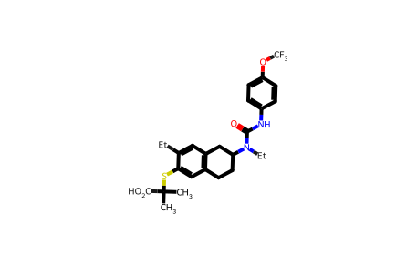 CCc1cc2c(cc1SC(C)(C)C(=O)O)CCC(N(CC)C(=O)Nc1ccc(OC(F)(F)F)cc1)C2